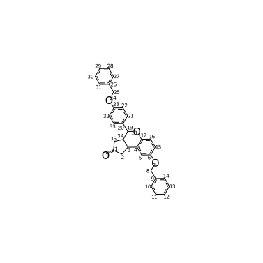 O=C1CC2c3cc(OCc4ccccc4)ccc3OC(c3ccc(OCc4ccccc4)cc3)C2C1